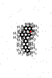 BC1=C(B)C(B)c2c1c(-c1c(B)c(B)c(-c3c(B)c(B)c4c(B)c(B)c(B)c(B)c4c3B)c(B)c1B)c1c(B)c(B)c(B)c(B)c1c2-c1c(B)c(B)c(B)c2c(B)c(B)c(B)c(B)c12